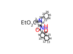 CCOC(=O)[C@]1(C)C[C@@H](NC(=O)c2ccc3ccccc3c2O)CN1CC1CCCCC1